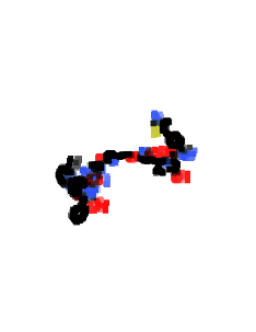 Cc1ncsc1-c1ccc([C@H](C)NC(=O)[C@@H]2C[C@@H](O)CN2C(=O)C(c2cc(OCC#Cc3ccc(OC4CC(Oc5cc(N6C7CC[C@@H]6CN(c6cc(-c8ccccc8O)nnc6N)C7)ccn5)C4)cn3)no2)C(C)C)cc1